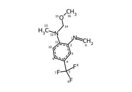 C=Nc1cc(C(F)(F)F)ccc1N(C)COC